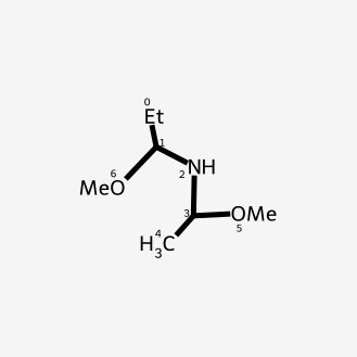 CCC(NC(C)OC)OC